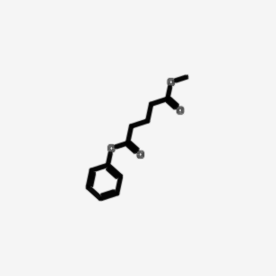 COC(=O)CCCC(=O)Oc1ccccc1